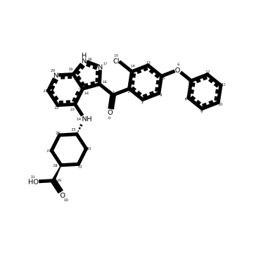 O=C(c1ccc(Oc2ccccc2)cc1Cl)c1n[nH]c2nccc(N[C@H]3CC[C@H](C(=O)O)CC3)c12